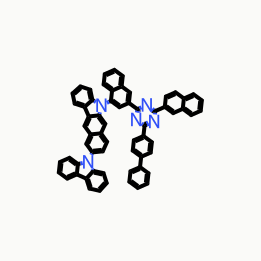 c1ccc(-c2ccc(-c3nc(-c4ccc5ccccc5c4)nc(-c4cc(-n5c6ccccc6c6cc7cc(-n8c9ccccc9c9ccccc98)ccc7cc65)c5ccccc5c4)n3)cc2)cc1